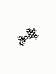 c1ccc(-c2nc3cc(-c4ccc5c(-c6ccccn6)c6ccccc6c(-c6ccccn6)c5c4)ccc3n2-c2ccccc2)cc1